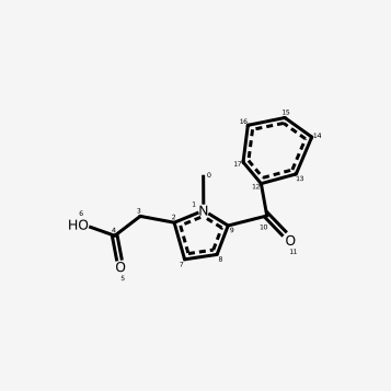 Cn1c(CC(=O)O)ccc1C(=O)c1ccccc1